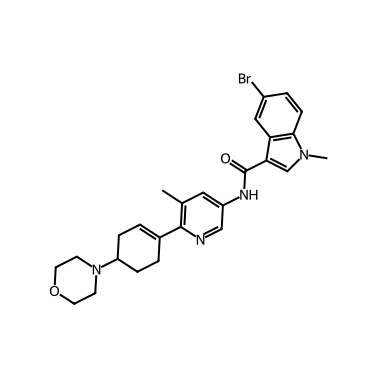 Cc1cc(NC(=O)c2cn(C)c3ccc(Br)cc23)cnc1C1=CCC(N2CCOCC2)CC1